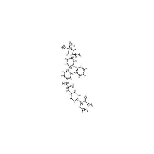 CCN(C(C)=O)C1CCC(CC(=O)Nc2cc(-c3ccccc3)c(-c3ccc([C@]4(N)C[C@](C)(O)C4)cc3)cn2)CC1